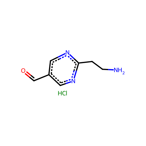 Cl.NCCc1ncc(C=O)cn1